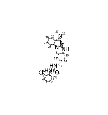 Cc1cccc(Cl)c1NC(=O)NC[C@H]1CC[C@@H](Nc2nc(N(C)C)c3ccccc3n2)CC1